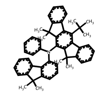 CC(C)(C)c1c2c(c(N(c3ccccc3)c3cccc4c3-c3ccccc3C4(C)C)c3c1-c1ccccc1C3(C)C)C(C)(C)c1ccccc1-2